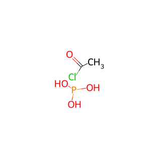 CC(=O)Cl.OP(O)O